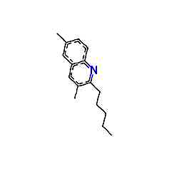 CCCCCc1nc2ccc(C)cc2cc1C